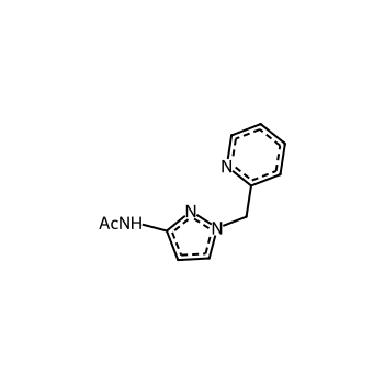 CC(=O)Nc1ccn(Cc2ccccn2)n1